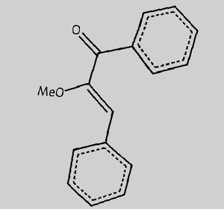 CO/C(=C\c1ccccc1)C(=O)c1ccccc1